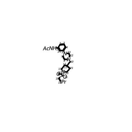 CC(=O)Nc1cccc(N2CCN(CC3CCN(S(=O)(=O)CC(C)C)CC3)CC2)c1